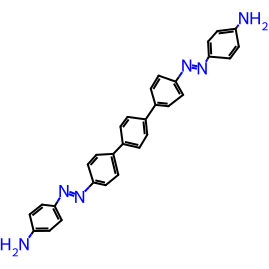 Nc1ccc(/N=N/c2ccc(-c3ccc(-c4ccc(/N=N/c5ccc(N)cc5)cc4)cc3)cc2)cc1